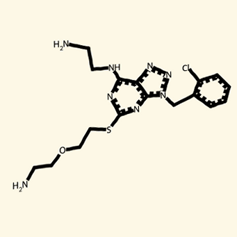 NCCNc1nc(SCCOCCN)nc2c1nnn2Cc1ccccc1Cl